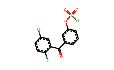 O=C(c1cccc(OS(=O)(=O)Cl)c1)c1cc(Cl)ccc1Cl